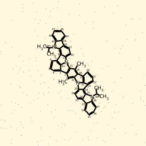 Cc1c2c3cccc4c5c6c(ccc5n(c2c(C)c2c5cccc7c8c9c(ccc8n(c12)c57)c1ccccc1n9C(C)C)c34)c1ccccc1n6C(C)C